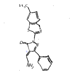 Cc1ccc2nc(N3N=C(c4ccccc4)/C(=C\N)C3=O)sc2c1